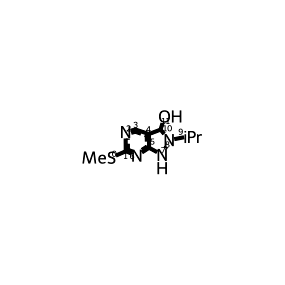 CSc1ncc2c(n1)NN(C(C)C)C2O